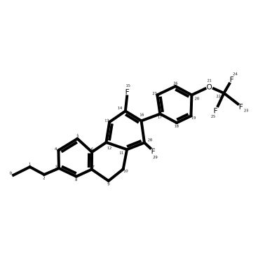 CCCc1ccc2c(c1)CCc1c-2cc(F)c(-c2ccc(OC(F)(F)F)cc2)c1F